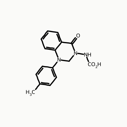 Cc1ccc(N2CN(NC(=O)O)C(=O)c3ccccc32)cc1